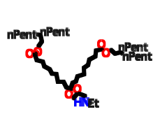 CCCCCC(CCCCC)CCOC(=O)CCCCCCCCCC1(CCCCCCCCCC(=O)OCCC(CCCCC)CCCCC)OCC(CNCC)O1